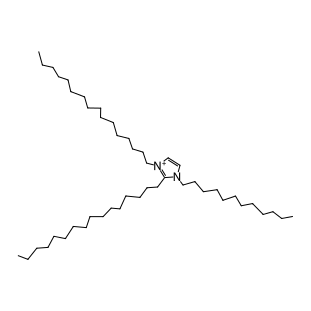 CCCCCCCCCCCCCCCCc1n(CCCCCCCCCCCC)cc[n+]1CCCCCCCCCCCCCCCC